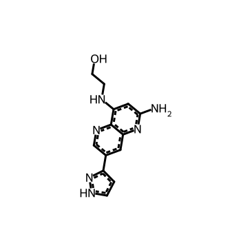 Nc1cc(NCCO)c2ncc(-c3cc[nH]n3)cc2n1